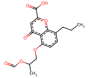 CCCc1ccc(OCC(C)OC=O)c2c(=O)cc(C(=O)O)oc12